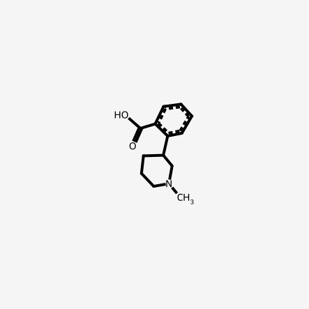 CN1CCCC(c2ccccc2C(=O)O)C1